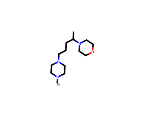 CC(C)N1CCN(CCCC(C)N2CCOCC2)CC1